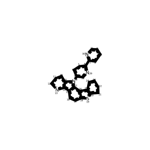 c1ccc(-c2ccc(-n3c4cccnc4c4ccc5sc6ccccc6c5c43)cn2)nc1